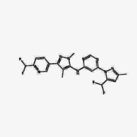 Cc1cc(C(F)F)n(-c2cc(Nc3c(C)c(-c4ccc(C(F)F)nc4)nn3C)ncn2)n1